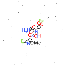 COc1cc(C(=O)NCC(O)(c2cc3c(c(-c4ccc5c(c4)OC(F)(F)O5)n2)OC2C[C@@]32C(N)=O)C2CC2)cc2cc(C(F)F)nnc12